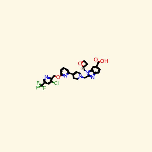 O=C(O)c1ccc2nc(CN3CC=C(c4cccc(OCc5ncc(C(F)(F)F)cc5Cl)n4)CC3)n(C[C@@H]3CCO3)c2c1